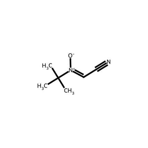 CC(C)(C)[N+]([O-])=CC#N